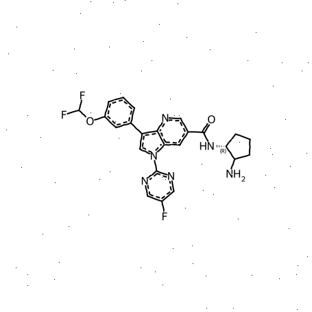 NC1CCC[C@H]1NC(=O)c1cnc2c(-c3cccc(OC(F)F)c3)cn(-c3ncc(F)cn3)c2c1